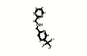 FC(F)(F)c1ccc(CNCc2ncccn2)nc1